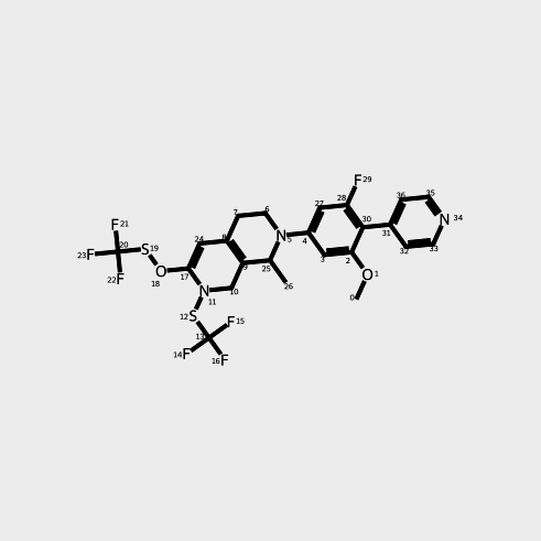 COc1cc(N2CCC3=C(CN(SC(F)(F)F)C(OSC(F)(F)F)=C3)C2C)cc(F)c1-c1ccncc1